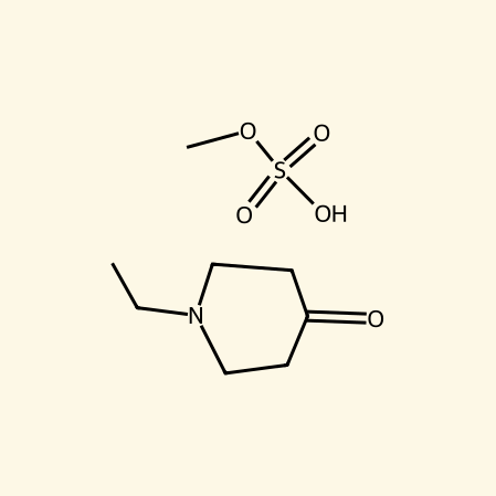 CCN1CCC(=O)CC1.COS(=O)(=O)O